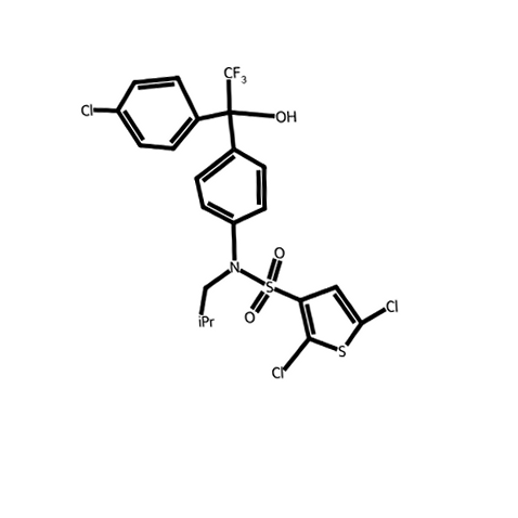 CC(C)CN(c1ccc(C(O)(c2ccc(Cl)cc2)C(F)(F)F)cc1)S(=O)(=O)c1cc(Cl)sc1Cl